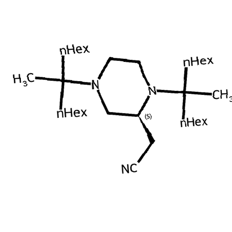 CCCCCCC(C)(CCCCCC)N1CCN(C(C)(CCCCCC)CCCCCC)[C@@H](CC#N)C1